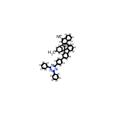 CC1CC2CC(C)C3(c4cc(-c5ccc(-c6nc(-c7ccccc7)nc(-c7ccccc7)n6)cc5)ccc4-c4cccc(-c5ccc(C#N)c6ccccc56)c43)C(C1)C2